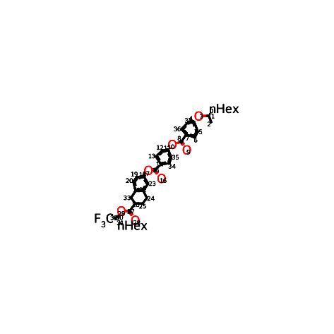 CCCCCC[C@@H](C)Oc1ccc(C(=O)Oc2ccc(C(=O)Oc3ccc4c(c3)CCC(C(=O)O[C@H](CCCCCC)C(F)(F)F)C4)cc2)cc1